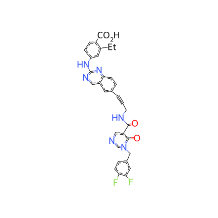 CCc1cc(Nc2ncc3cc(C#CCNC(=O)c4cncn(Cc5ccc(F)c(F)c5)c4=O)ccc3n2)ccc1C(=O)O